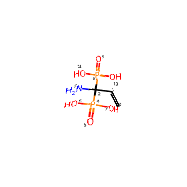 C=CC(N)(P(=O)(O)O)P(=O)(O)O